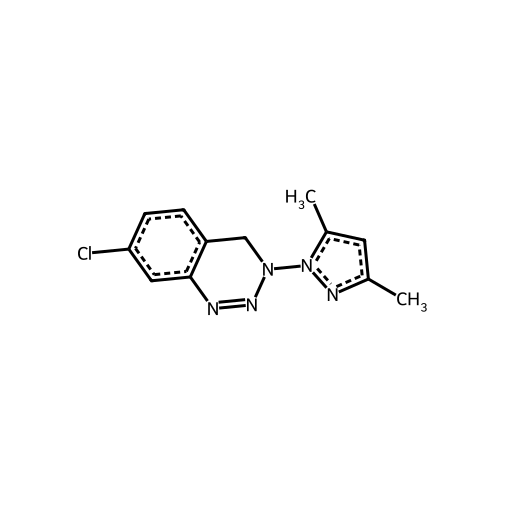 Cc1cc(C)n(N2Cc3ccc(Cl)cc3N=N2)n1